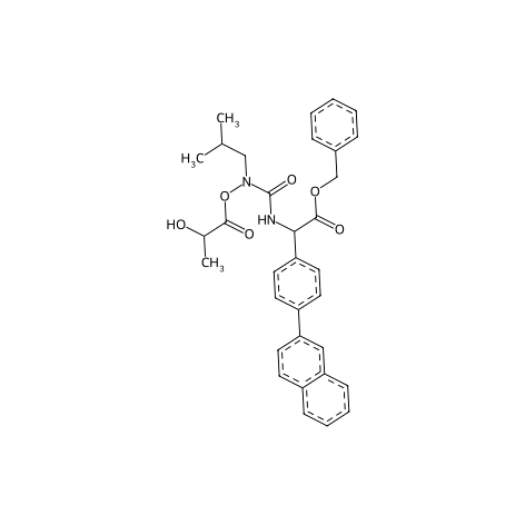 CC(C)CN(OC(=O)C(C)O)C(=O)NC(C(=O)OCc1ccccc1)c1ccc(-c2ccc3ccccc3c2)cc1